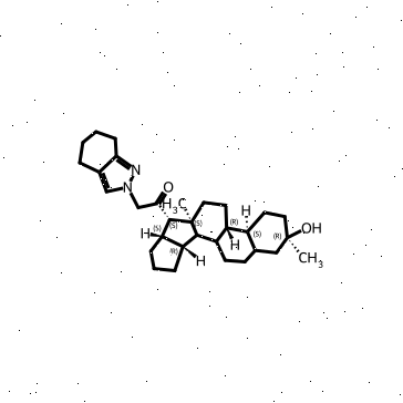 C[C@@]1(O)CC[C@H]2C(CCC3C4[C@@H]5CCC[C@@H]5[C@H](C(=O)Cn5cc6c(n5)CCCC6)[C@@]4(C)CC[C@@H]32)C1